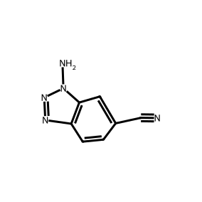 N#Cc1ccc2nnn(N)c2c1